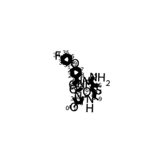 CO[C@@H]1C[C@@H](C(=O)N[C@H](C)c2cc(C(=N)N)cs2)N(C(=O)CNC(=O)c2ccc(Oc3ccc(F)cc3)cc2)C1